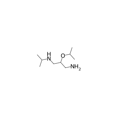 CC(C)NCC(CN)OC(C)C